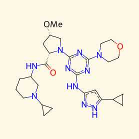 CO[C@H]1C[C@@H](C(=O)NC2CCCN(C3CC3)C2)N(c2nc(Nc3cc(C4CC4)[nH]n3)nc(N3CCOCC3)n2)C1